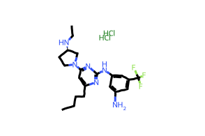 CCCCc1cc(N2CC[C@H](NCC)C2)nc(Nc2cc(N)cc(C(F)(F)F)c2)n1.Cl.Cl